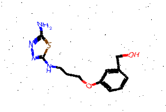 Nc1nnc(NCCCOc2cccc(CO)c2)s1